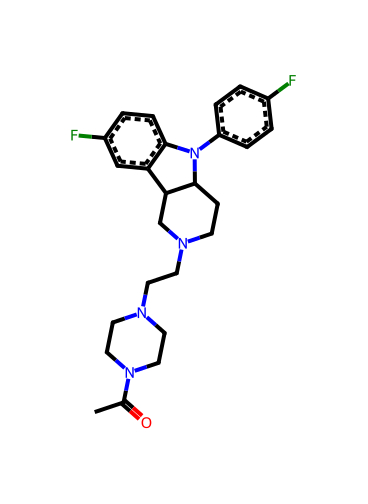 CC(=O)N1CCN(CCN2CCC3C(C2)c2cc(F)ccc2N3c2ccc(F)cc2)CC1